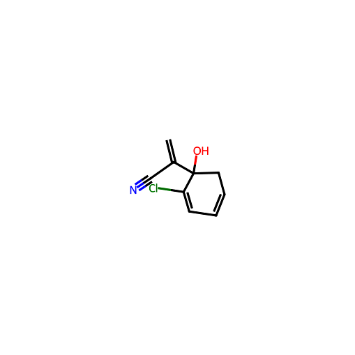 C=C(C#N)C1(O)CC=CC=C1Cl